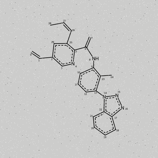 C=Cc1cnc(C(=C)Nc2cccc(-n3nnc4ccccc43)c2C)c(/C=C\C)c1